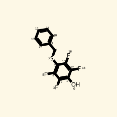 Oc1c(F)c(F)c(SCc2ccccc2)c(F)c1F